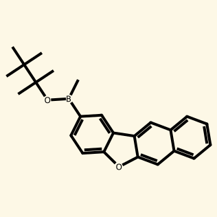 CB(OC(C)(C)C(C)(C)C)c1ccc2oc3cc4ccccc4cc3c2c1